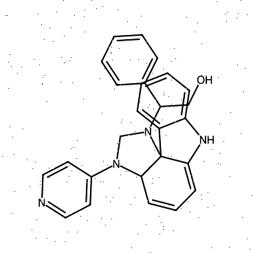 OCC(c1ccccc1)N1CN(c2ccncc2)C2C=CC=C3Nc4ccccc4C321